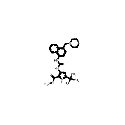 COC(=O)c1[nH]c(C(C)(C)C)cc1NC(=O)Nc1ccc(CN2CCOCC2)c2ccccc12